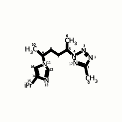 Cc1nnn(C(C)CCC(C)n2cnc(C(C)C)c2)n1